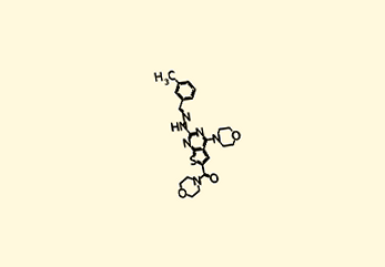 Cc1cccc(/C=N/Nc2nc(N3CCOCC3)c3cc(C(=O)N4CCOCC4)sc3n2)c1